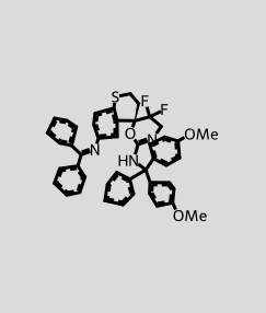 COc1ccc(C(NC2=NCC(F)(F)[C@]3(CCSc4ccc(N=C(c5ccccc5)c5ccccc5)cc43)O2)(c2ccccc2)c2ccc(OC)cc2)cc1